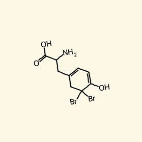 NC(CC1=CC=C(O)C(Br)(Br)C1)C(=O)O